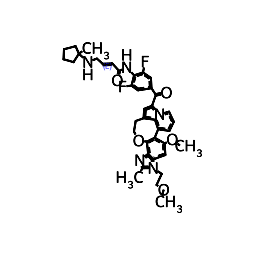 COCCn1c(C)nc2c3c(c(OC)cc21)-c1cccn2c(C(=O)c4cc(F)c(NC(=O)/C=C/CNC5(C)CCCC5)c(F)c4)cc(c12)CCO3